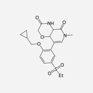 CCS(=O)(=O)c1ccc(OCC2CC2)c(C2=CN(C)C(=O)C3NC(=O)COC23)c1